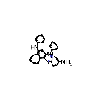 Cc1cc(Nc2ccccc2)c2ccccc2c1/N=C1/C=CC(N)=C/C1=N\c1ccccc1